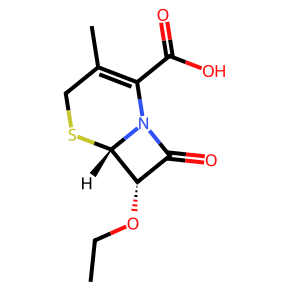 CCO[C@H]1C(=O)N2C(C(=O)O)=C(C)CS[C@@H]12